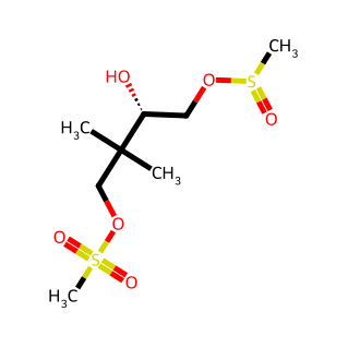 CS(=O)OC[C@@H](O)C(C)(C)COS(C)(=O)=O